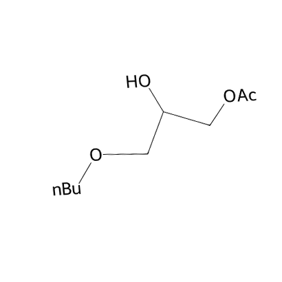 [CH2]CCCOCC(O)COC(C)=O